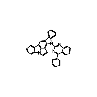 c1ccc(-c2nc(-n3c4ccccc4c4cc5c6ccccc6n6ccc(c43)c56)nc3ccccc23)cc1